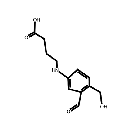 O=Cc1cc(NCCCC(=O)O)ccc1CO